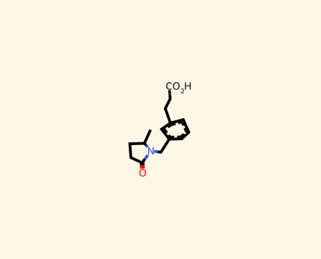 CC1CCC(=O)N1Cc1cccc(CCC(=O)O)c1